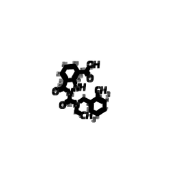 CCN(Cc1ccccc1C)C(=O)n1[nH]c2c(C(=O)O)cccc2c1=O